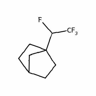 FC(C(F)(F)F)C12CCC(CC1)C2